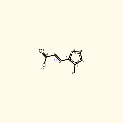 Cc1ccsc1/C=C/C(=O)Cl